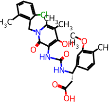 COc1cc([C@H](CC(=O)O)NC(=O)Nc2c(O)c(C)c(C)n(Cc3c(C)cccc3Cl)c2=O)ccc1C